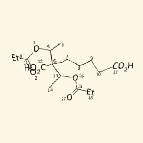 CCC(=O)OC(C)C(CCCCC(=O)O)(C(=O)O)C(C)OC(=O)CC